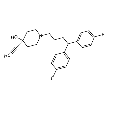 C#CC1(O)CCN(CCCC(c2ccc(F)cc2)c2ccc(F)cc2)CC1